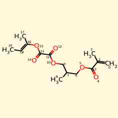 C=C(C)C(=O)OCC(C)COC(=O)C(=O)OC(C)=CC